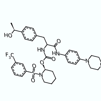 C[C@H](O)c1ccc(CC(NC(=O)O[C@H]2CCCCN2S(=O)(=O)c2cccc(C(F)(F)F)c2)C(=O)Nc2ccc(N3CCOCC3)cc2)cc1